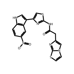 O=C(Cc1cn2ccsc2n1)Nc1nc(-c2c[nH]c3ccc([N+](=O)[O-])cc23)cs1